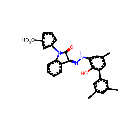 Cc1cc(C)cc(-c2cc(C)cc(NN=C3C(=O)N(c4cccc(C(=O)O)c4)c4ccccc43)c2O)c1